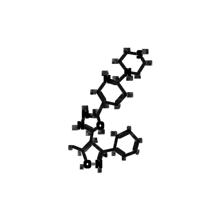 Cc1onc(-c2ccccc2)c1-c1nnc(-c2ccc(N3CCSCC3)nc2)o1